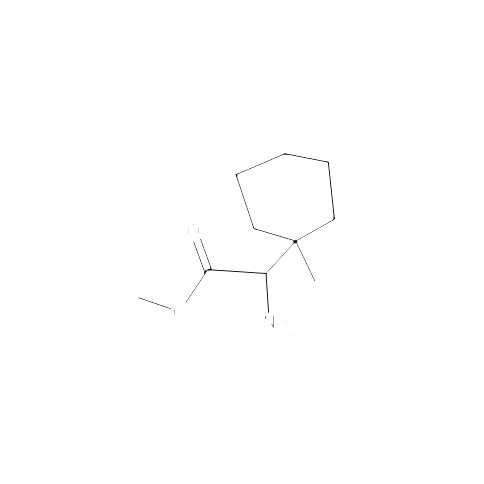 COC(=O)C(N)C1(C)CCCCC1